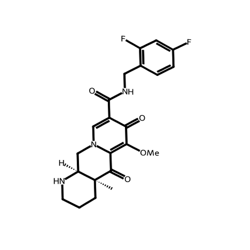 COc1c2n(cc(C(=O)NCc3ccc(F)cc3F)c1=O)C[C@@H]1NCCC[C@]1(C)C2=O